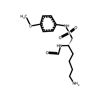 COc1ccc(NS(=O)(=O)C[C@H](CCCCN)NC=O)cc1